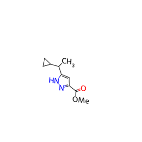 COC(=O)c1cc(C(C)C2CC2)[nH]n1